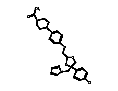 CC(=O)N1CCN(c2ccc(OCC3OCC(Cn4cncn4)(c4ccc(Cl)cc4)O3)cc2)CC1